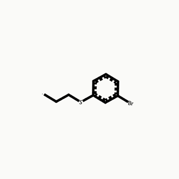 [CH2]CCSc1cccc(Br)c1